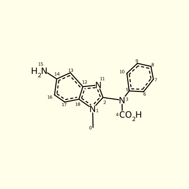 Cn1c(N(C(=O)O)c2ccccc2)nc2cc(N)ccc21